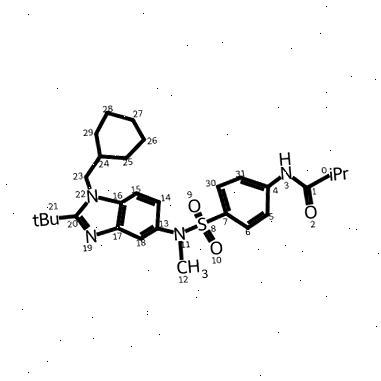 CC(C)C(=O)Nc1ccc(S(=O)(=O)N(C)c2ccc3c(c2)nc(C(C)(C)C)n3CC2CCCCC2)cc1